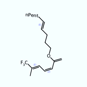 C=C(/C=C\C=C(/C)C(F)(F)F)OCCC/C=C/CCCCC